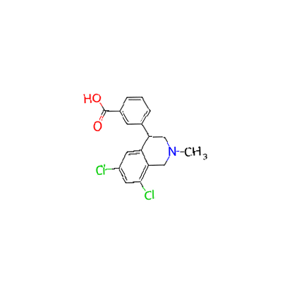 CN1Cc2c(Cl)cc(Cl)cc2C(c2cccc(C(=O)O)c2)C1